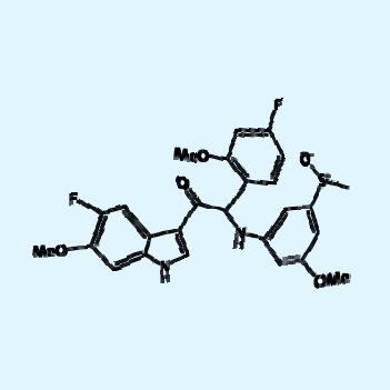 COc1cc(NC(C(=O)c2c[nH]c3cc(OC)c(F)cc23)c2ccc(F)cc2OC)cc([S+](C)[O-])c1